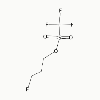 O=S(=O)(OCCCF)C(F)(F)F